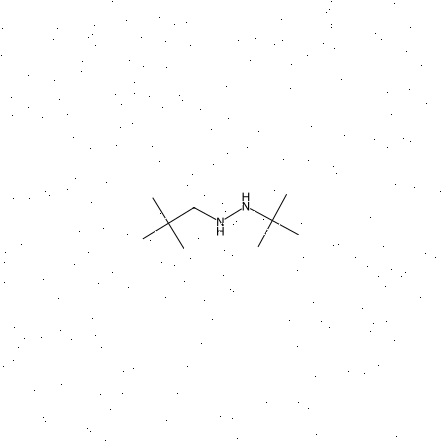 CC(C)(C)CNNC(C)(C)C